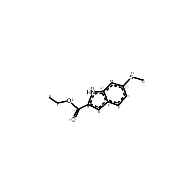 CCOC(=O)c1cc2ccc(SC)cc2[nH]1